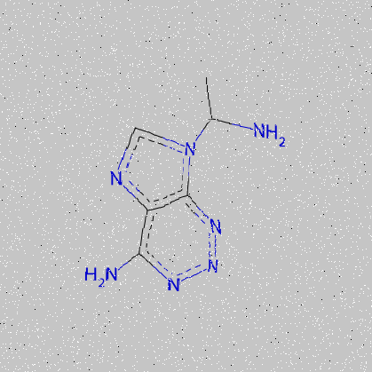 CC(N)n1cnc2c(N)nnnc21